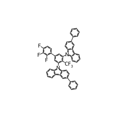 Fc1ccc(-c2cc(-n3c4ccccc4c4cc(-c5ccccc5)ccc43)c(C(F)(F)F)c(-n3c4ccccc4c4cc(-c5ccccc5)ccc43)c2)c(F)c1F